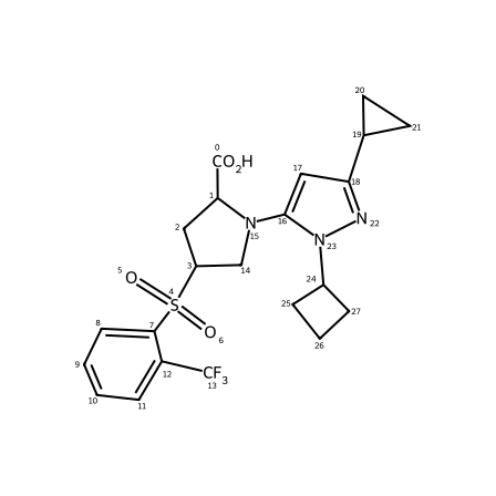 O=C(O)C1CC(S(=O)(=O)c2ccccc2C(F)(F)F)CN1c1cc(C2CC2)nn1C1CCC1